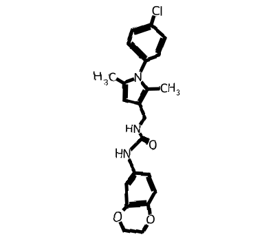 Cc1cc(CNC(=O)Nc2ccc3c(c2)OCCO3)c(C)n1-c1ccc(Cl)cc1